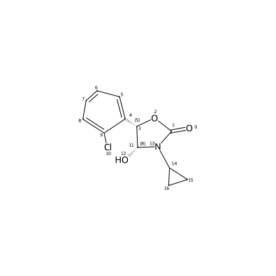 O=C1O[C@@H](c2ccccc2Cl)[C@@H](O)N1C1CC1